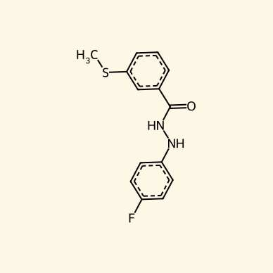 CSc1cccc(C(=O)NNc2ccc(F)cc2)c1